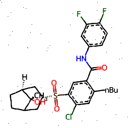 CCCCc1cc(Cl)c(S(=O)(=O)[C@@H]2CC3CC[C@@H](C2)[C@]3(C)O)cc1C(=O)Nc1ccc(F)c(F)c1